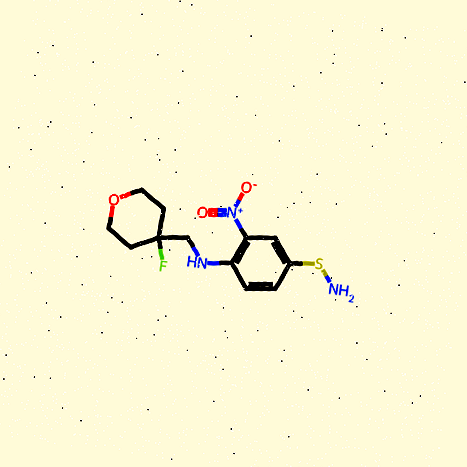 NSc1ccc(NCC2(F)CCOCC2)c([N+](=O)[O-])c1